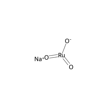 [Na+].[O]=[Ru](=[O])[O-]